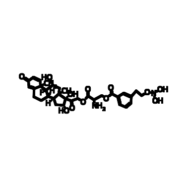 C[C@]12C=CC(=O)C=C1CC[C@H]1[C@@H]3C[C@@H](O)[C@](O)(C(=O)COC(=O)C(N)COC(=O)c4cccc(CCON(O)O)c4)[C@@]3(C)C[C@H](O)[C@@]12F